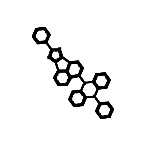 c1ccc(-c2nc3c(s2)-c2cccc4c(N5c6ccccc6N(c6ccccc6)c6ccccc65)ccc-3c24)cc1